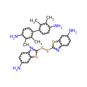 Cc1c(N)ccc(-c2ccc(N)c(C)c2C)c1C.Nc1ccc2nc(SSc3nc4ccc(N)cc4s3)sc2c1